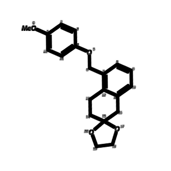 COc1ccc(OCc2cccc3c2CCC2(C3)OCCO2)cc1